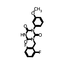 COc1cccc(-n2c(=O)[nH]c(=O)n(Cc3c(F)cccc3F)c2=O)c1